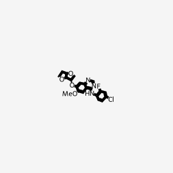 COc1cc2c(Nc3ccc(Cl)cc3F)ncnc2cc1O[C@@H]1COC2CCOC21